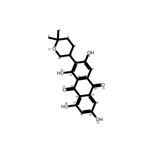 CC1(C)CCC(c2c(O)cc3c(c2O)C(=O)c2c(O)cc(O)cc2C3=O)CO1